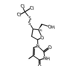 Cc1cn(C2CC(SSC(Cl)(Cl)Cl)[C@@H](CO)O2)c(=O)[nH]c1=O